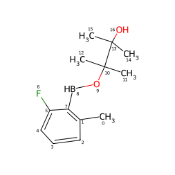 Cc1cccc(F)c1BOC(C)(C)C(C)(C)O